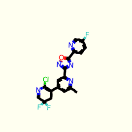 Cc1cc(C2=C(Cl)N=CC(F)(F)C2)cc(-c2noc(-c3ccc(F)cn3)n2)n1